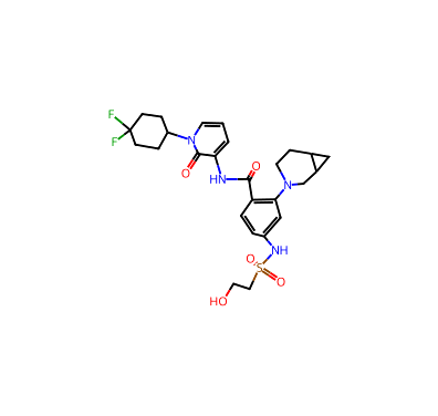 O=C(Nc1cccn(C2CCC(F)(F)CC2)c1=O)c1ccc(NS(=O)(=O)CCO)cc1N1CCC2CC2C1